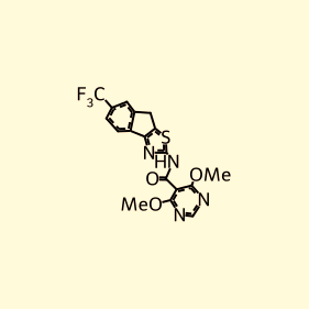 COc1ncnc(OC)c1C(=O)Nc1nc2c(s1)Cc1cc(C(F)(F)F)ccc1-2